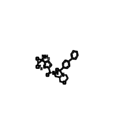 N[C@]1(c2ccc(C(=O)NCC3COCCN3C(=O)c3ccc(-c4ccccc4)cc3)s2)OC1C(F)(F)F